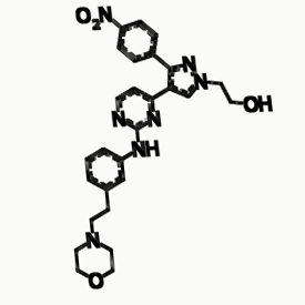 O=[N+]([O-])c1ccc(-c2nn(CCO)cc2-c2ccnc(Nc3cccc(CCN4CCOCC4)c3)n2)cc1